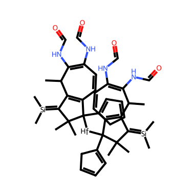 CC1C(NC=O)=C(NC=O)C=CC2=C1C(=[Si](C)C)C(C)(C)[C]2([Hf][C]1(C2=CC=CC2)C2=C(C(=[Si](C)C)C1(C)C)C(C)C(NC=O)=C(NC=O)C=C2)C1=CC=CC1